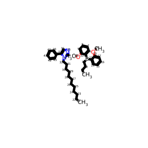 CCCCB(c1ccccc1OC)c1ccccc1OC.CCCCCCCCCCCCn1cncc1-c1ccccc1